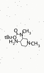 CN1CCC(N)C(N(C)C(=O)OC(C)(C)C)C1